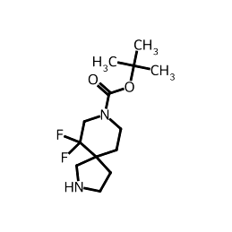 CC(C)(C)OC(=O)N1CCC2(CCNC2)C(F)(F)C1